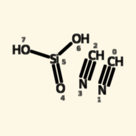 C#N.C#N.O=[Si](O)O